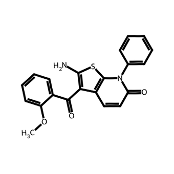 COc1ccccc1C(=O)c1c(N)sc2c1ccc(=O)n2-c1ccccc1